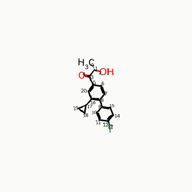 C[C@H](O)C(=O)c1ccc(-c2ccc(F)cc2)c(C2CC2)c1